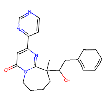 CC1(C(O)Cc2ccccc2)CCCCn2c1nc(-c1ccncn1)cc2=O